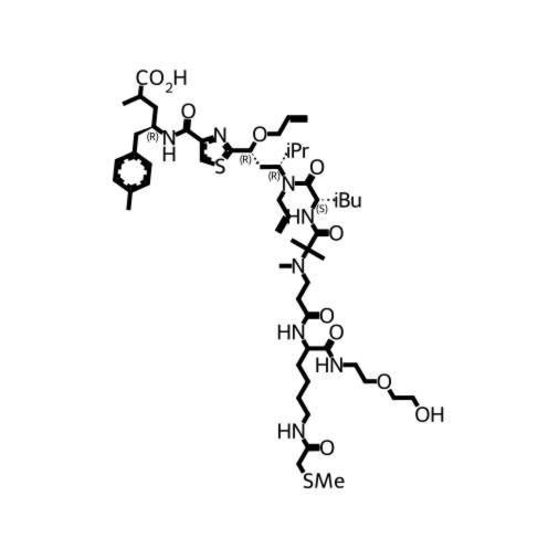 C=CCO[C@H](C[C@H](C(C)C)N(CC=C)C(=O)[C@@H](NC(=O)C(C)(C)N(C)CCC(=O)NC(CCCCNC(=O)CSC)C(=O)NCCOCCO)C(C)CC)c1nc(C(=O)N[C@@H](Cc2ccc(C)cc2)CC(C)C(=O)O)cs1